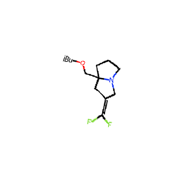 CCC(C)OCC12CCCN1CC(=C(F)F)C2